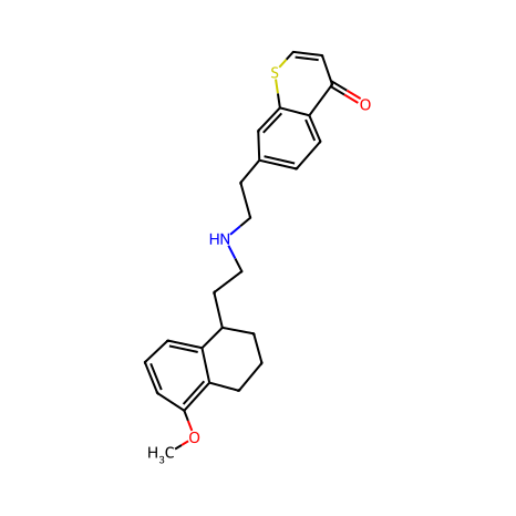 COc1cccc2c1CCCC2CCNCCc1ccc2c(=O)ccsc2c1